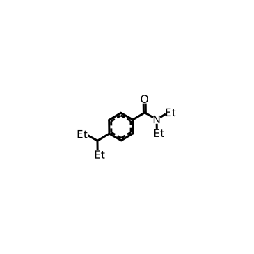 CCC(CC)c1ccc(C(=O)N(CC)CC)cc1